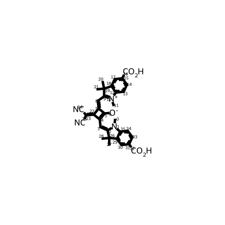 CN1/C(=C\C2=C([O-])C(=C\C3=[N+](C)c4ccc(C(=O)O)cc4C3(C)C)/C2=C(C#N)C#N)C(C)(C)c2cc(C(=O)O)ccc21